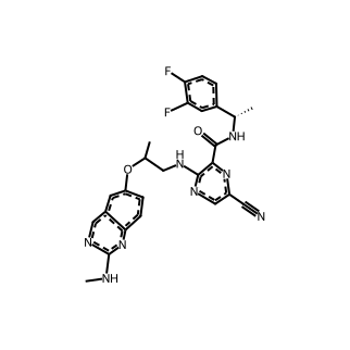 CNc1ncc2cc(OC(C)CNc3ncc(C#N)nc3C(=O)N[C@@H](C)c3ccc(F)c(F)c3)ccc2n1